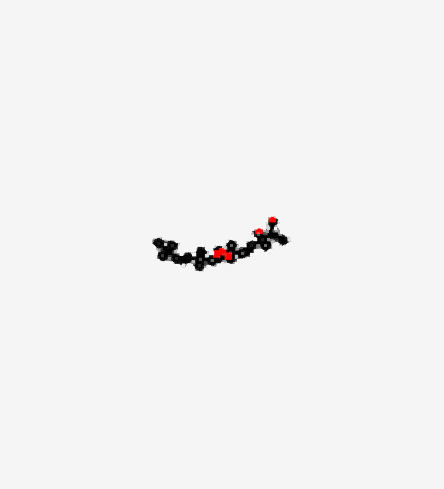 C1=Cc2c(c(-c3ccc4c(c3)oc3ccc(-c5c6ccccc6c(-c6ccccc6)c6c(-c7cnc8cc(-c9c%10ccccc%10c(-c%10ccc%11c(c%10)oc%10ccc(-c%12c%13ccccc%13c(-c%13ccccc%13)c%13ccccc%12%13)cc%10%11)c%10ccccc9%10)ccc8c7)cccc56)cc34)c3ccccc3c2-c2nc(-c3ccccc3)nc(-c3ccccc3)n2)CC1